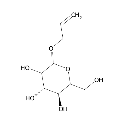 C=CCO[C@@H]1OC(CO)[C@@H](O)[C@H](O)C1O